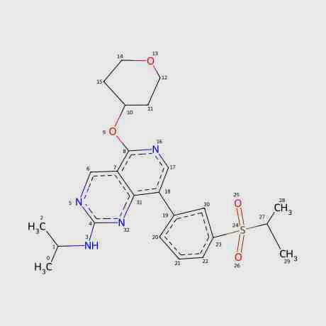 CC(C)Nc1ncc2c(OC3CCOCC3)ncc(-c3cccc(S(=O)(=O)C(C)C)c3)c2n1